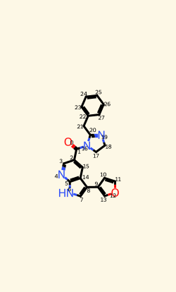 O=C(c1cnc2[nH]cc(-c3ccoc3)c2c1)N1CCN=C1Cc1ccccc1